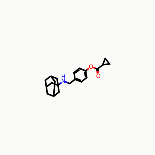 O=C(Oc1ccc(CNC23CC4CC(CC(C4)C2)C3)cc1)C1CC1